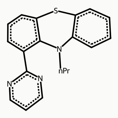 CCCN1c2ccccc2Sc2cccc(-c3ncccn3)c21